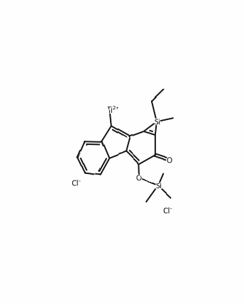 CC[Si]1(C)C2=C1C1=[C]([Ti+2])c3ccccc3C1=C(O[Si](C)(C)C)C2=O.[Cl-].[Cl-]